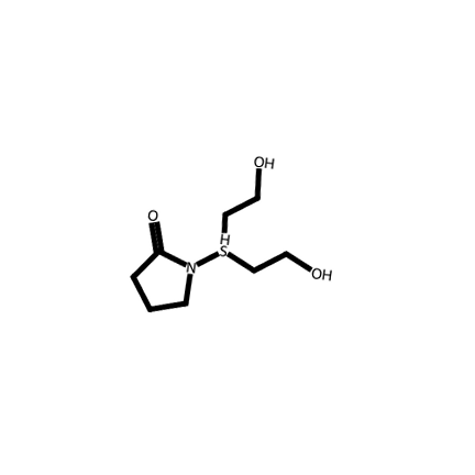 O=C1CCCN1[SH](CCO)CCO